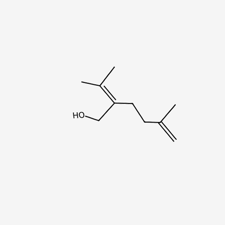 C=C(C)CCC(CO)=C(C)C